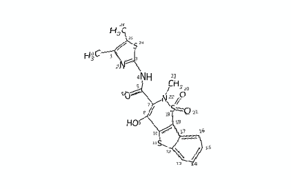 Cc1nc(NC(=O)C2=C(O)c3sc4ccccc4c3S(=O)(=O)N2C)sc1C